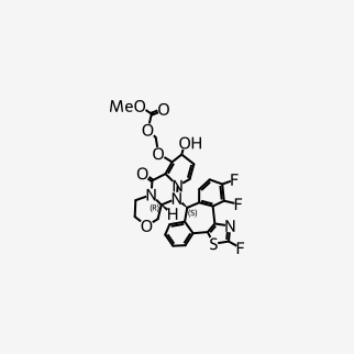 COC(=O)OCOC1=C2C(=O)N3CCOC[C@H]3N([C@@H]3c4ccccc4-c4sc(F)nc4-c4c3ccc(F)c4F)N2C=CC1O